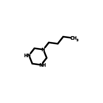 CCCCN1CNCNC1